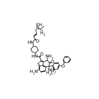 Cc1cc(Oc2ccccc2)ccc1C1(N)C(=O)C(N)c2c(C(=O)NC3CCC(NC(=O)/C=C/CN(C)C)CC3)sc3c(N)ccc1c23